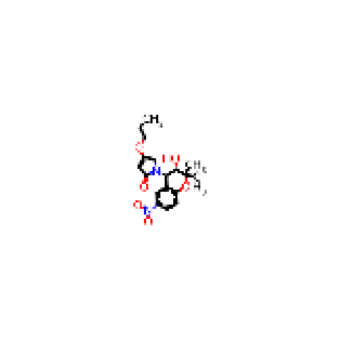 CCCOC1=CC(=O)N([C@H]2c3cc([N+](=O)[O-])ccc3OC(C)(C)[C@@H]2O)C1